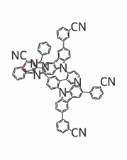 N#Cc1cccc(-c2ccc3c(c2)c2cc(-c4cccc(C#N)c4)ccc2n3-c2ccncc2-c2cc(-c3nc(-c4ccccc4)nc(-c4ccccc4)n3)ccc2-n2c3ccc(-c4cccc(C#N)c4)cc3c3cc(-c4cccc(C#N)c4)ccc32)c1